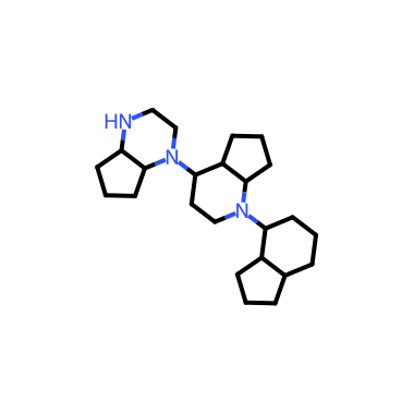 C1CC2CCCC(N3CCC(N4CCNC5CCCC54)C4CCCC43)C2C1